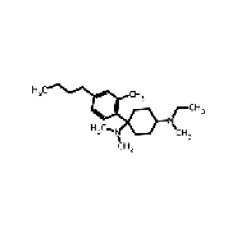 CCCCc1ccc(C2(N(C)C)CCC(N(C)CC)CC2)c(C)c1